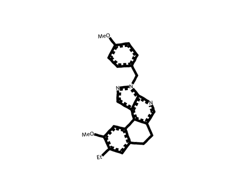 CCc1cc2c(cc1OC)-c1c(cnc3c1cnn3Cc1ccc(OC)cc1)CC2